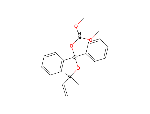 C=C[Si](C)(C)O[Si](O[SiH](OC)OC)(c1ccccc1)c1ccccc1